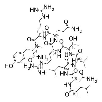 CC(C)C[C@H](NC(=O)[C@H](CC(N)=O)NC(=O)[C@@H](C)CC(C)C)C(=O)N[C@H](C(=O)N[C@H](C(=O)N[C@@H](CCCNC(=N)N)C(=O)N[C@@H](CCC(N)=O)C(=O)N[C@@H](CCCNC(=N)N)C(=O)N(C)[C@@H](Cc1ccc(O)cc1)C(N)=O)[C@@H](C)O)C(C)C